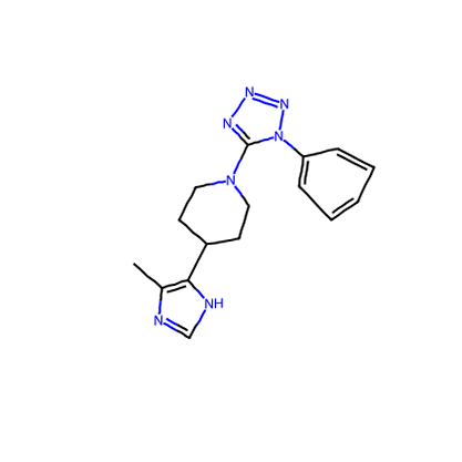 Cc1nc[nH]c1C1CCN(c2nnnn2-c2ccccc2)CC1